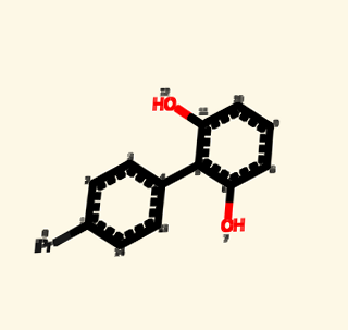 CC(C)c1ccc(-c2c(O)cccc2O)cc1